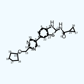 O=C(NC1Nc2ccc(-c3cnc(COC4CCCC4)nc3)cc2S1)C1CC1